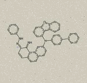 N=C1/C(=N\Nc2ccccc2)C=Cc2ccc3ccc(N(c4ccc(-c5ccccc5)cc4)c4cccc5oc6ccccc6c45)cc3c21